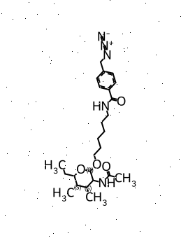 CCC1O[C@@H](OCCCCCCNC(=O)c2ccc(CN=[N+]=[N-])cc2)C(NC(C)=O)[C@@H](C)[C@@H]1C